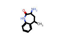 CC1CC(N)C(=O)Nc2ccccc21